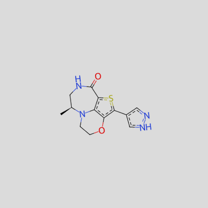 C[C@H]1CNC(=O)c2sc(-c3cn[nH]c3)c3c2N1CCO3